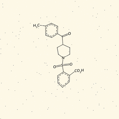 Cc1ccc(C(=O)C2CCN(S(=O)(=O)c3ccccc3C(=O)O)CC2)cc1